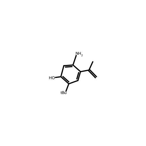 C=C(C)c1cc(C(C)(C)C)c(O)cc1N